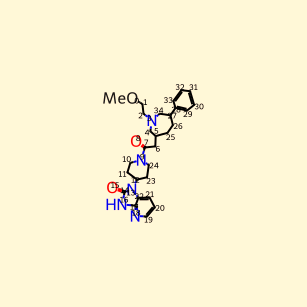 COCCN1CC(CC(=O)N2CCC(n3c(=O)[nH]c4ncccc43)CC2)CCC(c2ccccc2)C1